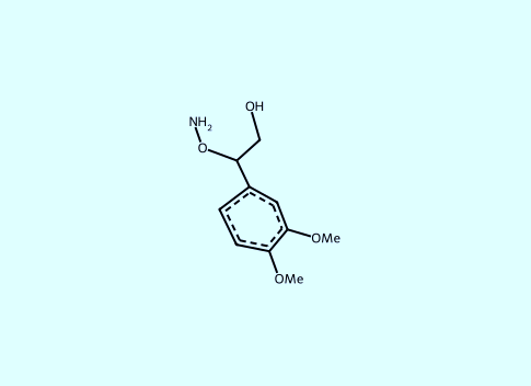 COc1ccc(C(CO)ON)cc1OC